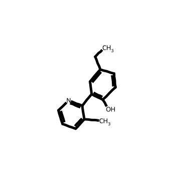 CCc1ccc(O)c(-c2ncccc2C)c1